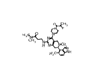 C=C(F)C(=O)N1CCN(c2nc(NCCC(=O)N(C)C)nc3c2CN(C)C(c2c(C)ccc4[nH]ncc24)C3)CC1